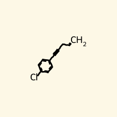 C=CCC#Cc1ccc(Cl)cc1